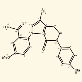 COc1ccc(-n2nc(C(F)(F)F)c3c2C(=O)N(c2ccc(C(C)(C)C)cc2)CC3)c(C(N)=O)c1